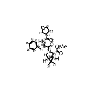 COC(=O)[C@@H]1[C@@H]2[C@H](CN1C(=O)[C@H](Cc1ccccc1)NC(=O)[C@H]1CCOC1)C2(C)C